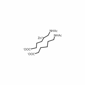 CC(=O)NCCCCCC(=O)[O-].CC(=O)NCCCCCC(=O)[O-].[Zn+2]